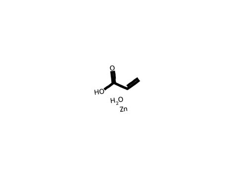 C=CC(=O)O.O.[Zn]